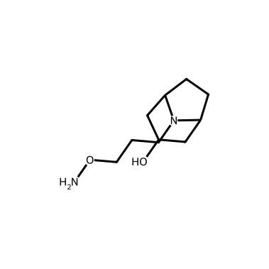 NOCCCN1C2CCC1CC(O)C2